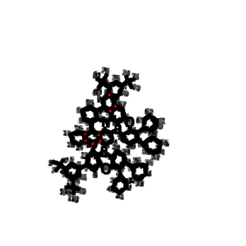 CC(C)(C)c1cc(-c2cc3c4c(c2)N(c2ccccc2)c2cc5c(cc2B4c2ccc(-c4ccccc4)c(-c4ccccc4)c2O3)B2c3ccc(-c4ccccc4)c(-c4ccccc4)c3Oc3cc(-c4cc(C(C)(C)C)cc(C(C)(C)C)c4)cc(c32)N5c2c(-c3ccccc3)cccc2-c2ccccc2)cc(C(C)(C)C)c1